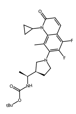 Cc1c(N2CC[C@@H]([C@H](C)NC(=O)OC(C)(C)C)C2)c(F)c(F)c2ccc(=O)n(C3CC3)c12